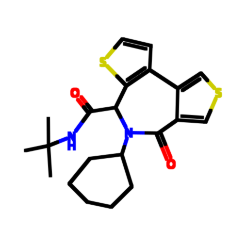 CC(C)(C)NC(=O)C1c2sccc2-c2cscc2C(=O)N1C1CCCCC1